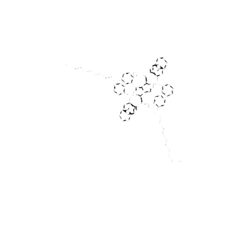 [C-]#[N+]/C(c1nc2ccccc2s1)=c1\c2c(-c3cccc(OCCCCCCCCCCCCCCCCCC)c3)n(B(c3ccccc3)c3ccccc3)/c(=C(/C#N)c3nc4ccccc4s3)c2c(-c2cccc(OCCCCCCCCCCCCCCCCCC)c2)n1B(c1ccccc1)c1ccccc1